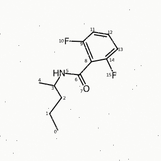 CCCC(C)NC(=O)c1c(F)cccc1F